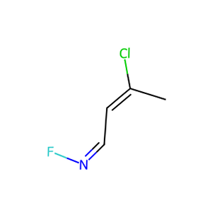 C/C(Cl)=C\C=N/F